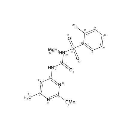 COc1nc(C)nc(NC(=O)NS(=O)(=O)c2ccccc2I)n1.[MgH2]